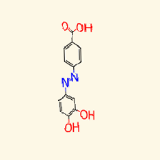 O=C(O)c1ccc(N=Nc2ccc(O)c(O)c2)cc1